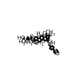 CC(C)C1=C2[C@H]3CC[C@@H]4[C@@]5(C)CC[C@H](OC(=O)[C@H]6C[C@@H](C(=O)O)C6(C)C)C(C)(C)[C@@H]5CC[C@@]4(C)[C@]3(C)CC[C@@]2(CCNCc2ccc(N3CCOCC3)cc2)CC1=O